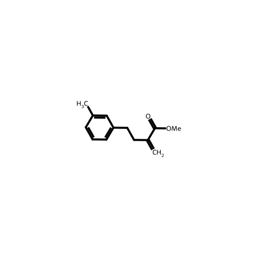 C=C(CCc1cccc(C)c1)C(=O)OC